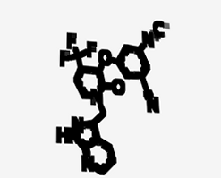 [C-]#[N+]c1cc(C#N)cc(Oc2c(C(F)(F)F)ccn(Cc3n[nH]c4ncccc34)c2=O)c1